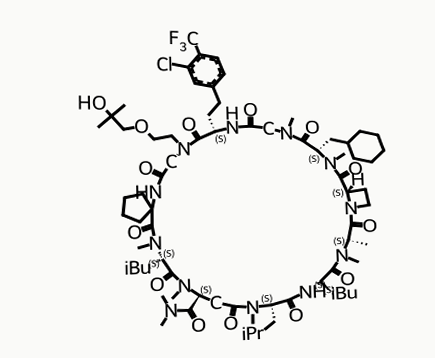 CC[C@H](C)[C@@H]1NC(=O)[C@H](CC(C)C)N(C)C(=O)C[C@@H](C(=O)N(C)C)N(C)C(=O)[C@H]([C@@H](C)CC)N(C)C(=O)C2(CCCC2)NC(=O)CN(CCOCC(C)(C)O)C(=O)[C@H](CCc2ccc(C(F)(F)F)c(Cl)c2)NC(=O)CN(C)C(=O)[C@H](CC2CCCCC2)N(C)C(=O)[C@@H]2CCN2C(=O)[C@H](C)N(C)C1=O